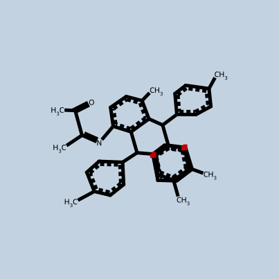 CC(=O)C(C)=Nc1ccc(C)c(C(c2ccc(C)cc2)c2ccc(C)cc2)c1C(c1ccc(C)cc1)c1ccc(C)cc1